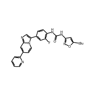 CC(C)(C)c1cc(NC(=O)Nc2ccc(-c3cnc4cc(-c5ccccn5)ccn34)cc2F)no1